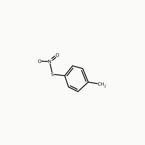 [CH2]c1ccc(S[N+](=O)[O-])cc1